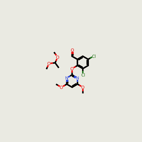 COC(C)OC.COc1cc(OC)nc(Oc2c(Cl)cc(Cl)cc2C=O)n1